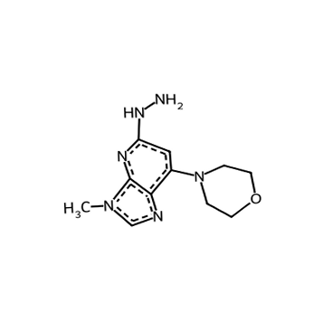 Cn1cnc2c(N3CCOCC3)cc(NN)nc21